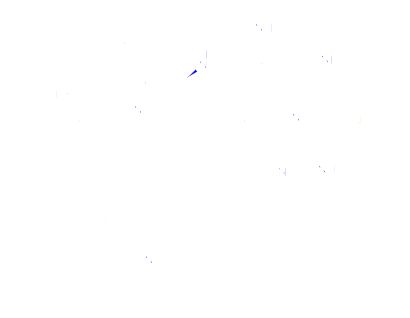 N=C(/N=C(/N)S)C(=N)C(=O)N[C@@H]1C(=O)N2C(C(=O)O)=C(Sc3cccnc3CSCCN)CCC12